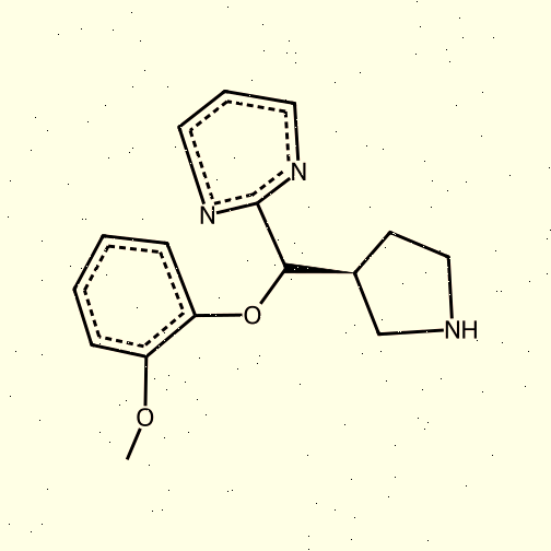 COc1ccccc1OC(c1ncccn1)[C@H]1CCNC1